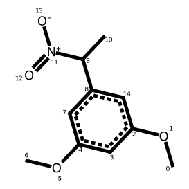 COc1cc(OC)cc(C(C)[N+](=O)[O-])c1